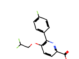 O=C(O)c1ccc(OCC(F)F)c(-c2ccc(F)cc2)n1